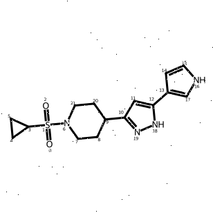 O=S(=O)(C1CC1)N1CCC(c2cc(-c3cc[nH]c3)[nH]n2)CC1